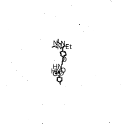 CCc1nc2c(C)nc(C)cn2c1-c1ccc(OCCNC(=O)NS(=O)(=O)c2ccc(C)cc2)cc1